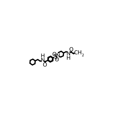 C=CC(=O)NCC1CCN(S(=O)(=O)c2ccc(C(=O)NCCC3CCCCC3)cc2)CC1